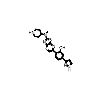 CN(c1nc2ncc(-c3ccc(-c4cc[nH]n4)cc3O)nc2s1)C1CCNCC1